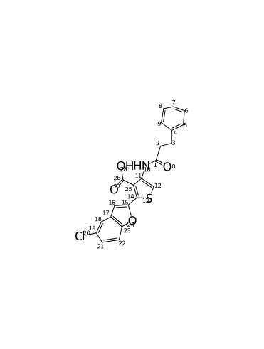 O=C(CCc1ccccc1)Nc1csc(-c2cc3cc(Cl)ccc3o2)c1C(=O)O